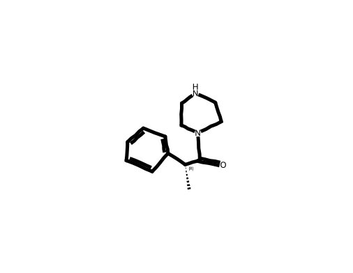 C[C@@H](C(=O)N1CCNCC1)c1ccccc1